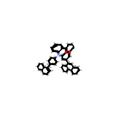 c1ccc(-c2ccccc2N(c2ccc(-c3cccc4ccccc34)cc2)c2cccc(-c3cc4ccccc4c4ccccc34)c2)cc1